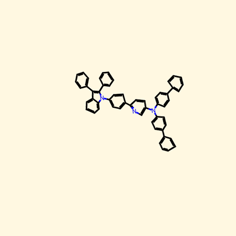 c1ccc(-c2ccc(N(c3ccc(-c4ccccc4)cc3)c3ccc(-c4ccc(-n5c(-c6ccccc6)c(-c6ccccc6)c6ccccc65)cc4)nc3)cc2)cc1